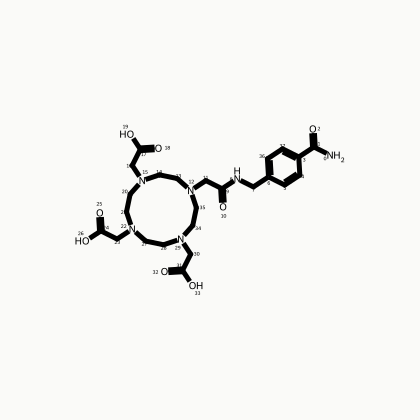 NC(=O)c1ccc(CNC(=O)CN2CCN(CC(=O)O)CCN(CC(=O)O)CCN(CC(=O)O)CC2)cc1